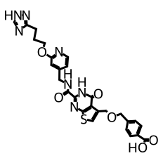 O=C(O)c1ccc(COCc2csc3nc(C(=O)NCc4ccnc(OCCCc5nc[nH]n5)c4)[nH]c(=O)c23)cc1